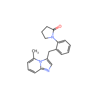 Cc1cccc2ncc(Cc3ccccc3N3CCCC3=O)n12